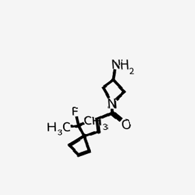 CC(C)(F)C1(CCC(=O)N2CC(N)C2)CCC1